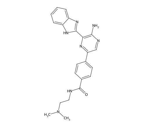 CN(C)CCNC(=O)c1ccc(-c2cnc(N)c(-c3nc4ccccc4[nH]3)n2)cc1